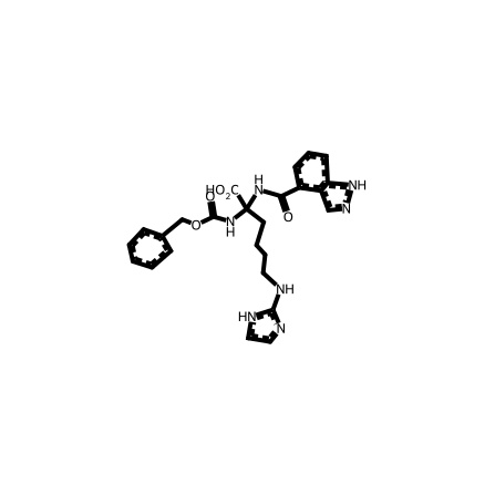 O=C(NC(CCCCNc1ncc[nH]1)(NC(=O)c1cccc2[nH]ncc12)C(=O)O)OCc1ccccc1